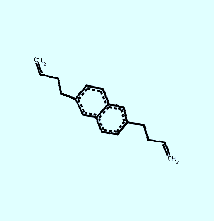 C=CCCc1ccc2cc(CCC=C)ccc2c1